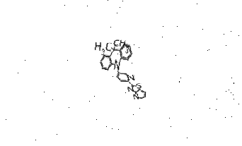 CC1(C)c2ccccc2N(c2ccc(-c3nc4ncccc4s3)nc2)c2ccccc21